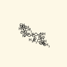 COC(=O)N[C@H](C(=O)N1CCC[C@H]1c1nc(-c2ccc3nc(-c4ccc(-c5cnc([C@@H]6CCCN6C(=O)[C@@H](NC(=O)OC)C(C)C)[nH]5)cc4)cc(OC)c3c2)c[nH]1)C(C)C